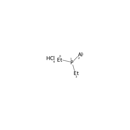 CC[P]([Al])CC.Cl